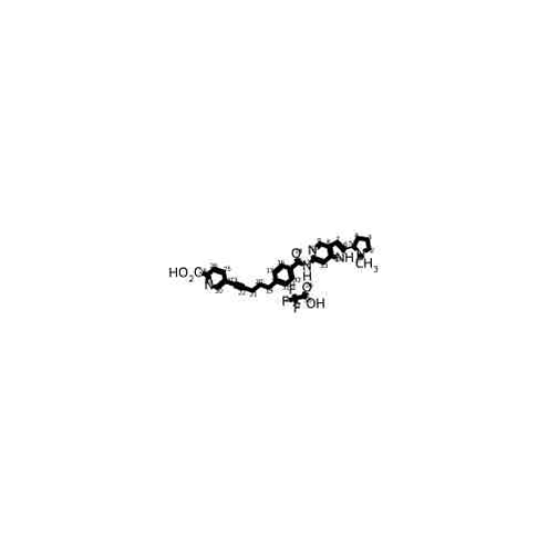 CN1CCC[C@@H]1c1cc2cnc(NC(=O)c3ccc(CCCC#Cc4ccc(C(=O)O)nc4)cc3)cc2[nH]1.O=C(O)C(F)(F)F